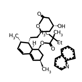 CCC(C)(C)C(=O)O[C@H]1C[C@@H](C)C=C2C=C[C@H](C)[C@H](CC[C@@H]3C[C@@H](O)CC(=O)O3)[C@H]21.c1ccc2ncccc2c1